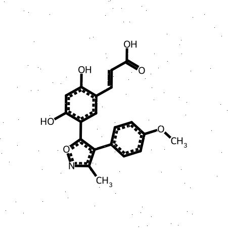 COc1ccc(-c2c(C)noc2-c2cc(/C=C/C(=O)O)c(O)cc2O)cc1